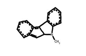 CN1c2ccc[c]c2C2=c3ccccc3=CC21